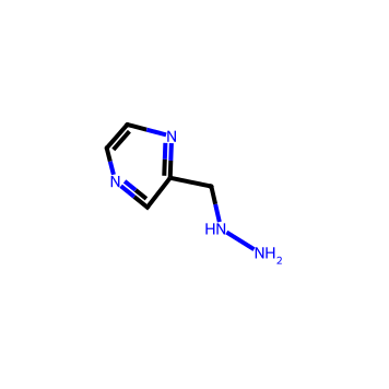 NNCc1cnccn1